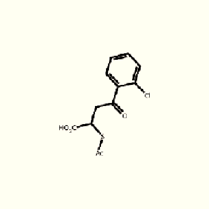 CC(=O)SC(CC(=O)c1ccccc1Cl)C(=O)O